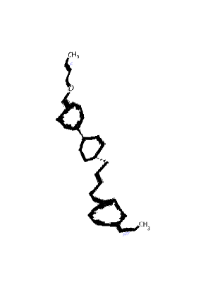 C/C=C\c1ccc(CCCC[C@H]2CC[C@H](c3ccc(COC/C=C/C)cc3)CC2)cc1